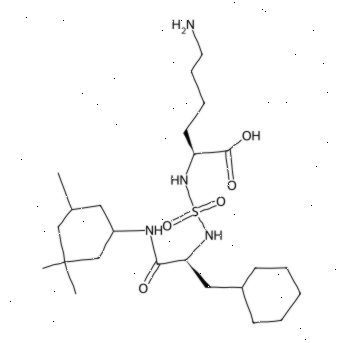 CC1CC(NC(=O)[C@H](CC2CCCCC2)NS(=O)(=O)N[C@@H](CCCCN)C(=O)O)CC(C)(C)C1